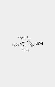 CC(C)(C=NO)C(=O)O